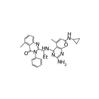 CCC(Nc1nc(N)nc(C)c1/C(C)=C\C(=O)NC1CC1)c1nc2cccc(C)c2c(=O)n1-c1ccccc1